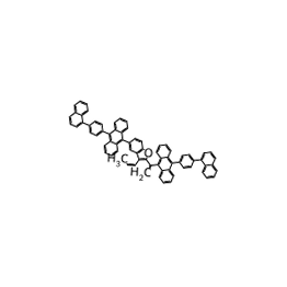 C=C(c1oc2ccc(-c3c4ccccc4c(-c4ccc(-c5cccc6ccccc56)cc4)c4ccccc34)cc2c1/C=C\C)c1c2ccccc2c(-c2ccc(-c3cccc4ccccc34)cc2)c2ccccc12